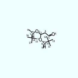 C[SiH](OC(CC=O)O[SiH](C)C(C)(C)C)C(C)(C)C